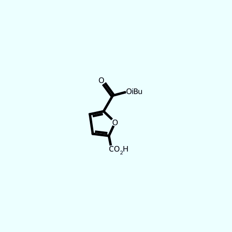 CC(C)COC(=O)c1ccc(C(=O)O)o1